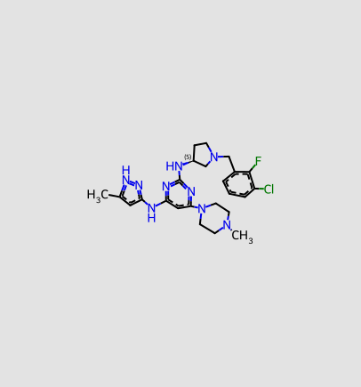 Cc1cc(Nc2cc(N3CCN(C)CC3)nc(N[C@H]3CCN(Cc4cccc(Cl)c4F)C3)n2)n[nH]1